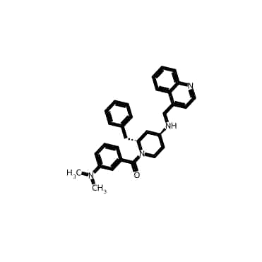 CN(C)c1cccc(C(=O)N2CC[C@H](NCc3ccnc4ccccc34)C[C@H]2Cc2ccccc2)c1